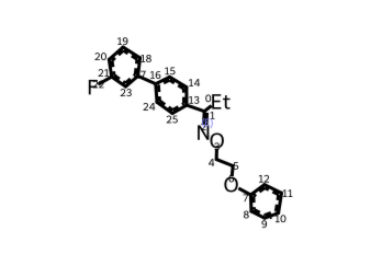 CC/C(=N\OCCOc1c[c]ccc1)c1ccc(-c2cccc(F)c2)cc1